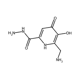 NCc1[nH]c(C(=O)NN)cc(=O)c1O